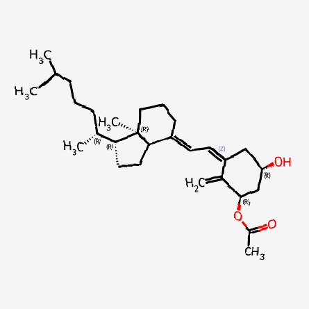 C=C1/C(=C\C=C2CCC[C@@]3(C)C2CC[C@@H]3[C@H](C)CCCC(C)C)C[C@@H](O)C[C@H]1OC(C)=O